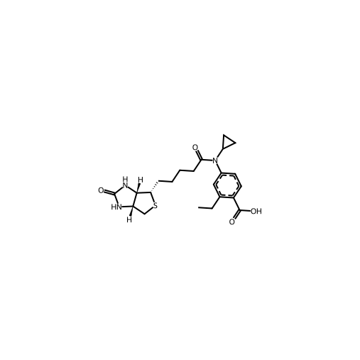 CCc1cc(N(C(=O)CCCC[C@@H]2SC[C@@H]3NC(=O)N[C@@H]32)C2CC2)ccc1C(=O)O